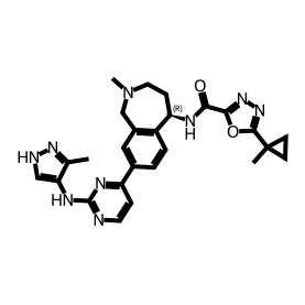 Cc1n[nH]cc1Nc1nccc(-c2ccc3c(c2)CN(C)CC[C@H]3NC(=O)c2nnc(C3(C)CC3)o2)n1